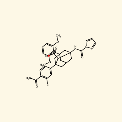 COc1cccc(OC)c1C12CC3CC(NC(=O)n4cccn4)(C1)C(C(=O)O)C(c1ccc(C(N)=O)c(Cl)c1)(C3)C2